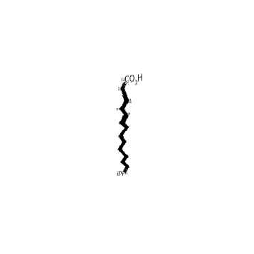 CC(C)CCCCCCC/C=C/CCCC(=O)O